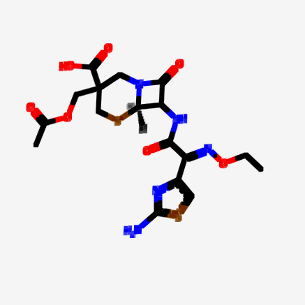 CCON=C(C(=O)NC1C(=O)N2CC(COC(C)=O)(C(=O)O)CS[C@H]12)c1csc(N)n1